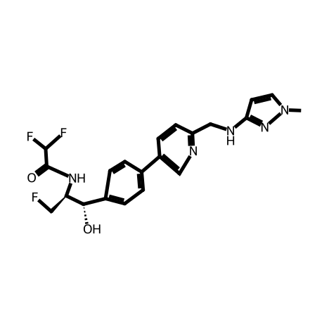 Cn1ccc(NCc2ccc(-c3ccc([C@H](O)[C@@H](CF)NC(=O)C(F)F)cc3)cn2)n1